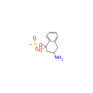 CS(=O)(=O)CC1(O)CC(N)Cc2ccccc21